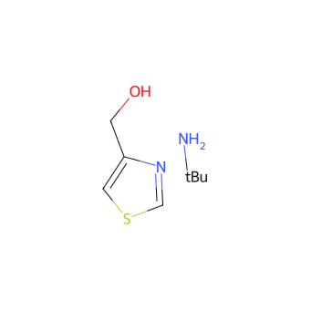 CC(C)(C)N.OCc1cscn1